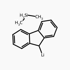 C[SiH2]C.[Li][CH]1c2ccccc2-c2ccccc21